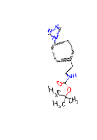 CC(C)(C)OC(=O)NCCc1ccc(-n2cnnc2)cc1